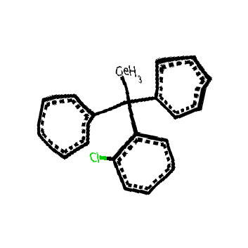 Clc1ccccc1[C]([GeH3])(c1ccccc1)c1ccccc1